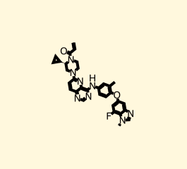 C=CC(=O)N1CCN(c2ccc3ncnc(Nc4ccc(Oc5cc(F)c6c(c5)ncn6C)c(C)c4)c3n2)C[C@@H]1C1CC1